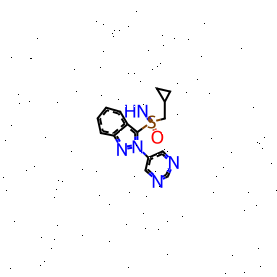 N=S(=O)(CC1CC1)c1c2ccccc2nn1-c1cncnc1